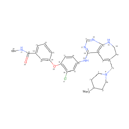 COC1CCN(CC2=Cc3c(ncnc3Nc3ccc(Oc4cccc(C(=O)NC(C)(C)C)c4)c(Cl)c3)NCC2)CC1